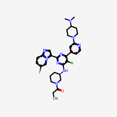 CN(C)C1CCN(c2cc(-c3nc(-c4cnc5ccc(F)cn45)nc(N[C@@H]4CCCN(C(=O)CC#N)C4)c3F)ccn2)CC1